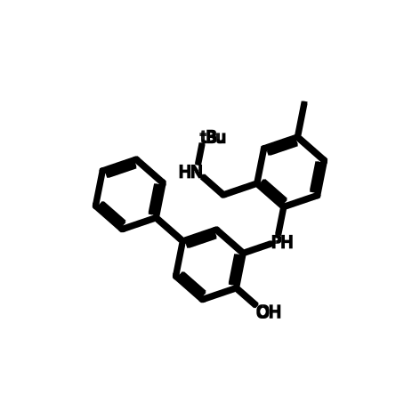 Cc1ccc(Pc2cc(-c3ccccc3)ccc2O)c(CNC(C)(C)C)c1